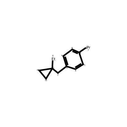 CCC1(Cc2ccc(C(C)C)cc2)CC1